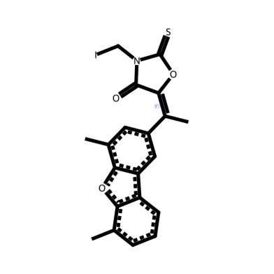 C/C(=C1\OC(=S)N(CI)C1=O)c1cc(C)c2oc3c(C)cccc3c2c1